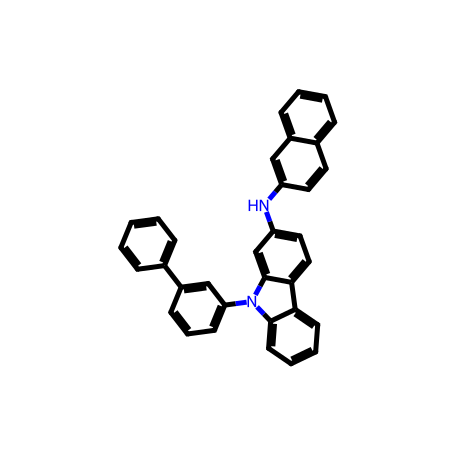 c1ccc(-c2cccc(-n3c4ccccc4c4ccc(Nc5ccc6ccccc6c5)cc43)c2)cc1